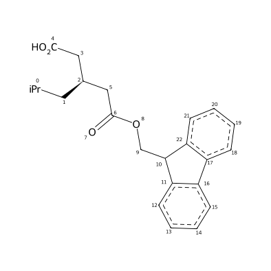 CC(C)C[C@@H](CC(=O)O)CC(=O)OCC1c2ccccc2-c2ccccc21